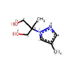 Cc1cnn(C(C)(CO)CO)c1